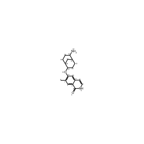 Cc1cc2c(=O)[nH]ccc2cc1OC1CCC2CC1CCC2N